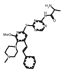 COc1nc(Sc2ncnc(NC(=O)C(C)N)n2)cc(C=Cc2ccccc2)c1N1CCN(C)CC1